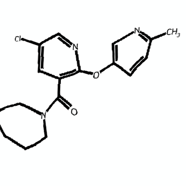 Cc1ccc(Oc2ncc(Cl)cc2C(=O)N2CCCCC2)cn1